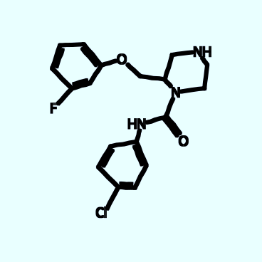 O=C(Nc1ccc(Cl)cc1)N1CCNCC1COc1cccc(F)c1